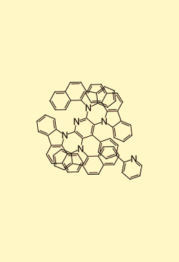 c1ccc(-c2ccc(-c3c(-n4c5ccccc5c5ccc6ccccc6c54)c(-n4c5ccccc5c5ccc6ccccc6c54)nc(-n4c5ccccc5c5ccc6ccccc6c54)c3-n3c4ccccc4c4ccc5ccccc5c43)cc2)nc1